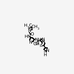 Cc1ncc(NC(=O)CN2CC(C)(C)C2)cc1NC(=O)c1cnn2cc(-c3cn[nH]c3)sc12